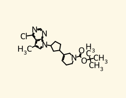 Cc1cn(C2CCC(C3=CCCN(C(=O)OC(C)(C)C)C3)C2)c2ncnc(Cl)c12